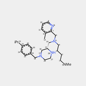 CNCCCCN(Cc1ncccc1C)C[C@H]1CN(Cc2ccc(C(C)C)cc2)CCN1